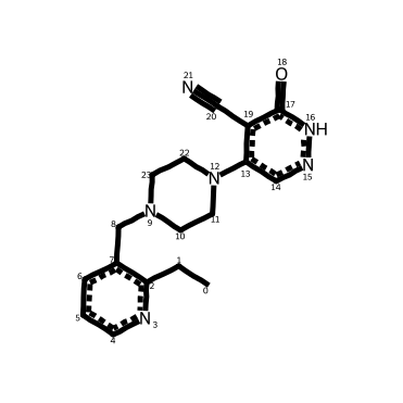 CCc1ncccc1CN1CCN(c2cn[nH]c(=O)c2C#N)CC1